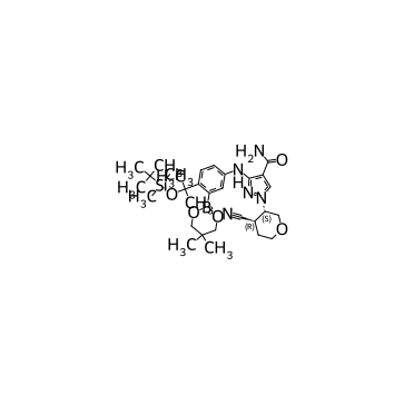 CC1(C)COB(c2cc(Nc3nn([C@@H]4COCC[C@H]4C#N)cc3C(N)=O)ccc2C(C)(C)O[Si](C)(C)C(C)(C)C)OC1